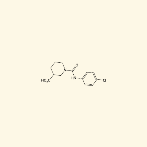 O=C(O)C1CCCN(C(=O)Nc2ccc(Cl)cc2)C1